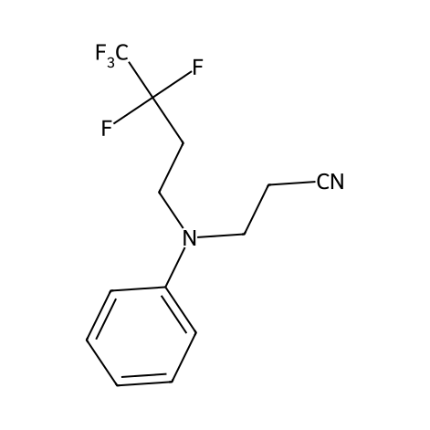 N#CCCN(CCC(F)(F)C(F)(F)F)c1ccccc1